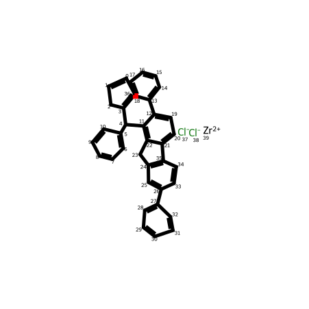 C1=CCC(C(c2ccccc2)c2c(-c3ccccc3)ccc3c2Cc2cc(-c4ccccc4)ccc2-3)=C1.[Cl-].[Cl-].[Zr+2]